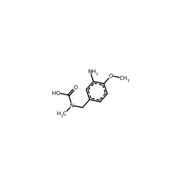 COc1ccc(CN(C)C(=O)O)cc1N